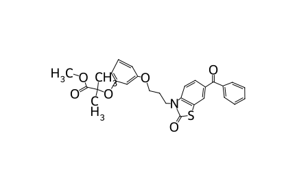 COC(=O)C(C)(C)Oc1cccc(OCCCn2c(=O)sc3cc(C(=O)c4ccccc4)ccc32)c1